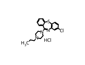 CCCN1CCN(C2=Nc3cc(Cl)ccc3Sc3ccccc32)CC1.Cl